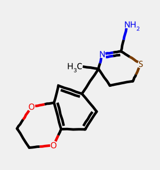 CC1(c2ccc3c(c2)OCCO3)CCSC(N)=N1